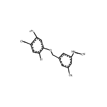 CCCc1cc(OCc2cc(C#N)cc(NC#N)c2)c(CC)cc1Cl